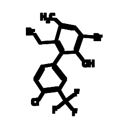 Cc1cc(Br)c(O)c(-c2ccc(Cl)c(C(F)(F)F)c2)c1CBr